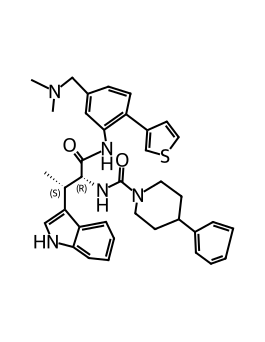 C[C@@H](c1c[nH]c2ccccc12)[C@@H](NC(=O)N1CCC(c2ccccc2)CC1)C(=O)Nc1cc(CN(C)C)ccc1-c1ccsc1